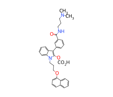 CN(C)CCCNC(=O)c1cccc(-c2c(OC(=O)O)n(CCCOc3cccc4ccccc34)c3ccccc23)c1